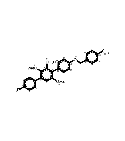 COc1cc(-c2ccc(F)cc2)c(OC)c(C(=O)O)c1-c1ccc(OCc2ccc(C)cc2)cc1